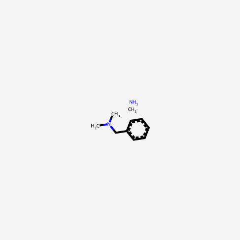 CN(C)Cc1ccccc1.N.[CH3]